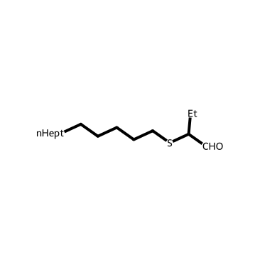 CCCCCCCCCCCCSC(C=O)CC